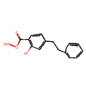 O=C(OO)c1ccc(CCc2ccccc2)cc1O